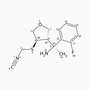 [C-]#[N+]CS[C@H]1COC[C@@H]1[C@](C)(N)c1ccccc1F